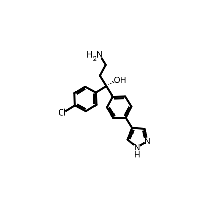 NCC[C@](O)(c1ccc(Cl)cc1)c1ccc(-c2cn[nH]c2)cc1